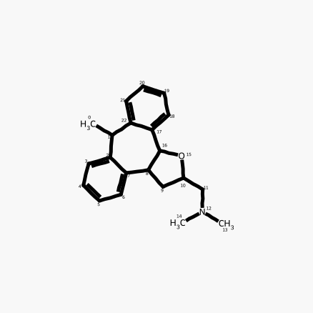 CC1c2ccccc2C2CC(CN(C)C)OC2c2ccccc21